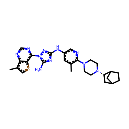 Cc1cc(Nc2nc(N)n(-c3ncnc4c(C)csc34)n2)cnc1N1CCN([C@H]2CC3CCC2C3)CC1